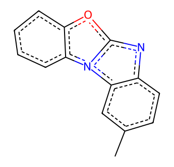 Cc1ccc2nc3oc4ccccc4n3c2c1